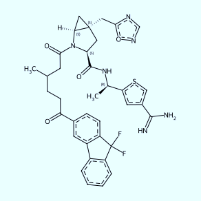 CC(CCC(=O)c1ccc2c(c1)-c1ccccc1C2(F)F)CC(=O)N1[C@H]2C[C@@]2(Cc2ncno2)C[C@H]1C(=O)N[C@H](C)c1cc(C(=N)N)cs1